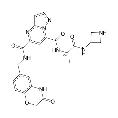 C[C@H](NC(=O)c1cc(C(=O)NCc2ccc3c(c2)NC(=O)CO3)nc2ccnn12)C(=O)NC1CNC1